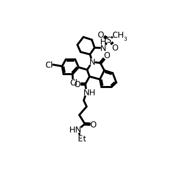 CCNC(=O)CCCNC(=O)C1c2ccccc2C(=O)N(C2CCCCC2NS(C)(=O)=O)C1c1ccc(Cl)cc1Cl